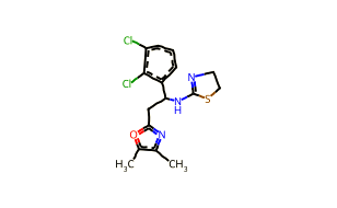 Cc1nc(CC(NC2=NCCS2)c2cccc(Cl)c2Cl)oc1C